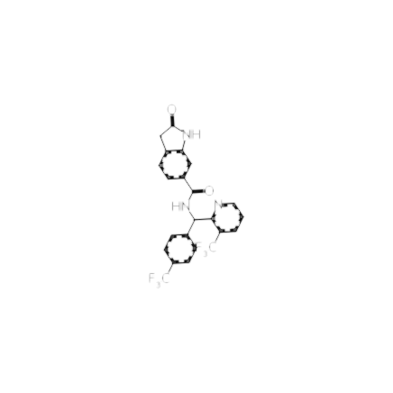 O=C1Cc2ccc(C(=O)NC(c3ccc(C(F)(F)F)cc3)c3ncccc3C(F)(F)F)cc2N1